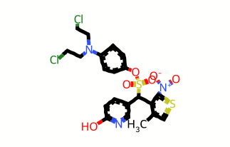 Cc1csc([N+](=O)[O-])c1C(c1ccc(O)nc1)S(=O)(=O)Oc1ccc(N(CCCl)CCCl)cc1